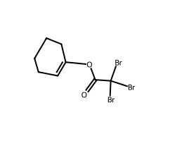 O=C(OC1=CCCCC1)C(Br)(Br)Br